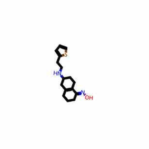 O/N=C1\CCCC2=C1CCC(NCCc1cccs1)C2